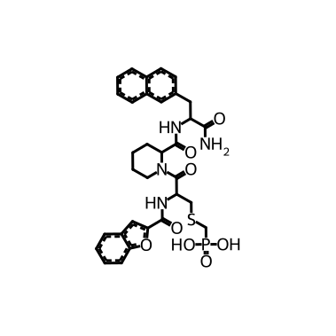 NC(=O)C(Cc1ccc2ccccc2c1)NC(=O)C1CCCCN1C(=O)C(CSCP(=O)(O)O)NC(=O)c1cc2ccccc2o1